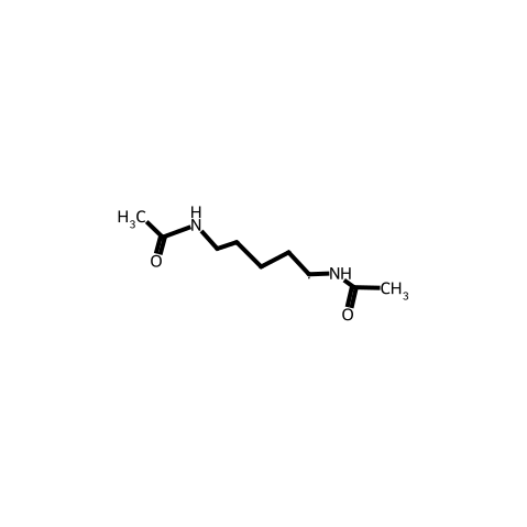 CC(=O)N[CH]CCCCNC(C)=O